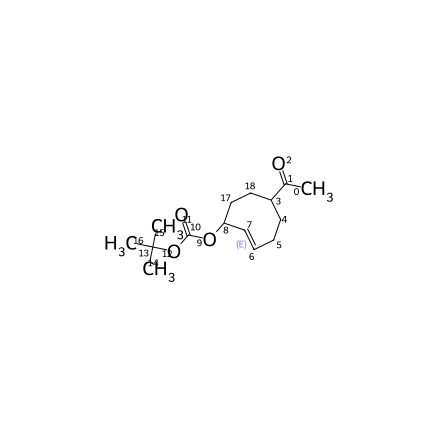 CC(=O)C1CC/C=C/C(OC(=O)OC(C)(C)C)CC1